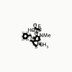 CNC1=CC2c3c(cn(Cc4ccccc4)c3C1=O)C=CN2C.O=C(O)C(F)(F)F